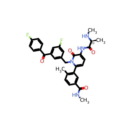 CNC(=O)c1ccc(C)c(-c2ccc(NC(=O)[C@H](C)NC)c(=O)n2Cc2cc(F)cc(C(=O)c3ccc(F)cc3)c2)c1